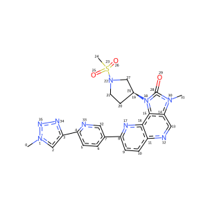 Cn1cc(-c2ccc(-c3ccc4ncc5c(c4n3)n([C@H]3CCN(S(C)(=O)=O)C3)c(=O)n5C)cn2)nn1